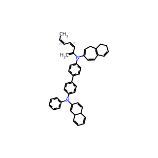 C=C(/C=C\C=C/C)N(C1=CCC2=C(C=CCC2)C=C1)c1ccc(-c2ccc(N(C3=CC4C=CC=CC4C=C3)c3ccccc3)cc2)cc1